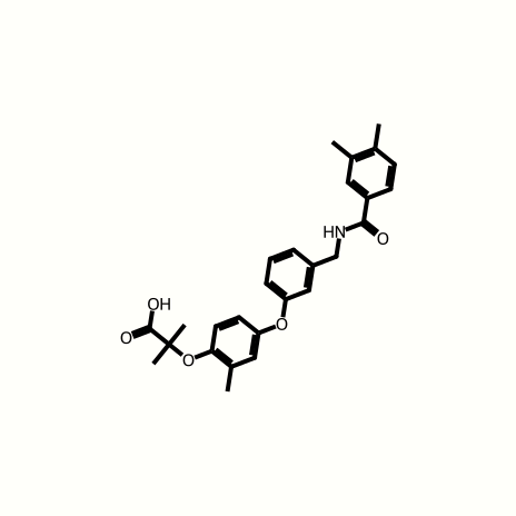 Cc1ccc(C(=O)NCc2cccc(Oc3ccc(OC(C)(C)C(=O)O)c(C)c3)c2)cc1C